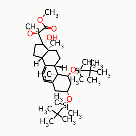 COC(=O)[C@H](OC)[C@]1(O)CC[C@H]2C3=CC=C4C[C@@H](O[Si](C)(C)C(C)(C)C)C[C@H](O[Si](C)(C)C(C)(C)C)[C@]4(C)[C@H]3CC[C@@]21C